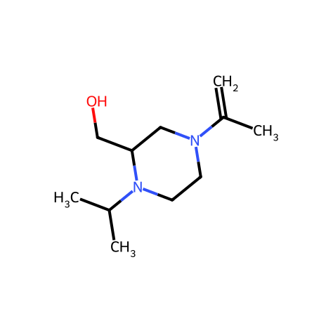 C=C(C)N1CCN(C(C)C)C(CO)C1